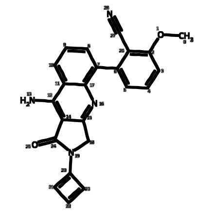 COc1cccc(-c2cccc3c(N)c4c(nc23)CN(C2=CC=C2)C4=O)c1C#N